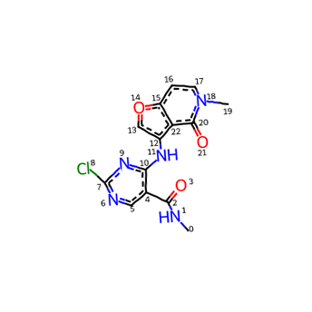 CNC(=O)c1cnc(Cl)nc1Nc1coc2ccn(C)c(=O)c12